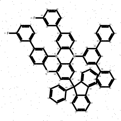 Fc1cccc(-c2ccc3c(c2)B2c4cc(-c5cccc(F)c5)ccc4N(c4cc(-c5ccccc5)cc(-c5ccccc5)c4)c4cc(C5(c6ccccc6)c6ccccc6-c6ccccc65)cc(c42)S3)c1